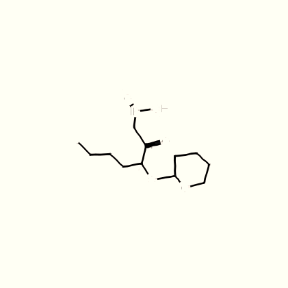 CCCCC(OC1CCCCO1)C(=O)C[PH](=O)O